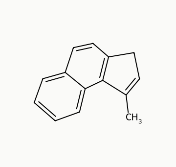 CC1=CCc2ccc3ccccc3c21